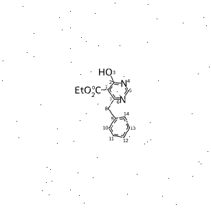 CCOC(=O)c1c(O)ncnc1Cc1ccccc1